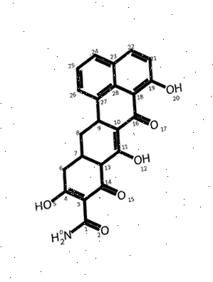 NC(=O)C1=C(O)CC2CC3C(=C(O)C2C1=O)C(=O)c1c(O)ccc2cccc3c12